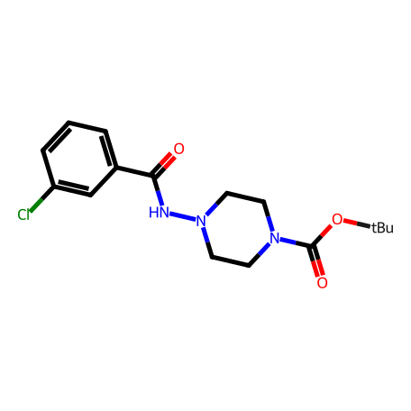 CC(C)(C)OC(=O)N1CCN(NC(=O)c2cccc(Cl)c2)CC1